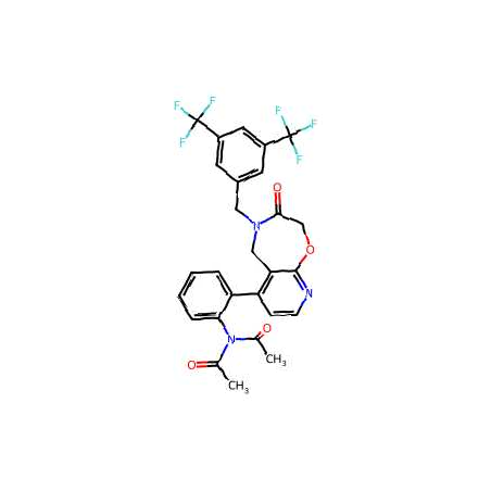 CC(=O)N(C(C)=O)c1ccccc1-c1ccnc2c1CN(Cc1cc(C(F)(F)F)cc(C(F)(F)F)c1)C(=O)CO2